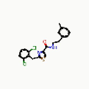 Cc1cccc(CCNC(=O)c2csc(Cc3c(Cl)cccc3Cl)n2)c1